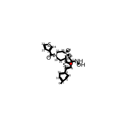 Cc1ccc(-c2ccc([C@@]3(CC(=O)NO)CCN(C(=O)c4ccsc4)CCS3(=O)=O)s2)cc1